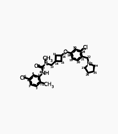 Cc1ccc(Cl)cc1NC(=O)N(C)CC1CC(Oc2ccc(CN3CCCC3)c(Cl)c2)C1